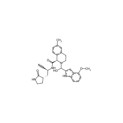 COc1cccc2[nH]c(C(O)N3CCc4cc(C)ccc4[C@@H]3C(=O)N[C@H](C#N)C[C@@H]3CCNC3=O)cc12